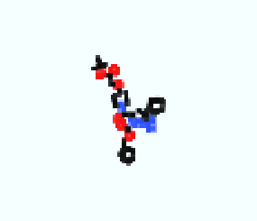 CC(C)(C)OC(=O)COC1CCN(C(=O)[C@H](Cc2c[nH]c3ccccc23)NC(=O)OCc2ccccc2)CC1